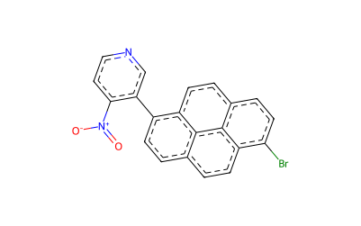 O=[N+]([O-])c1ccncc1-c1ccc2ccc3c(Br)ccc4ccc1c2c43